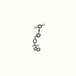 O=C(Nc1noc2ccccc12)N1CCN(Cc2cccc(C#Cc3cc(Cl)ccc3Cl)c2)CC1